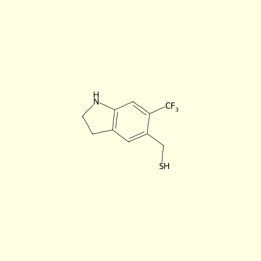 FC(F)(F)c1cc2c(cc1CS)CCN2